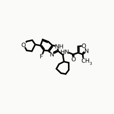 Cc1nocc1C(=O)NC(c1nc2c(F)c(C3CCOCC3)ccc2[nH]1)C1CCCCCC1